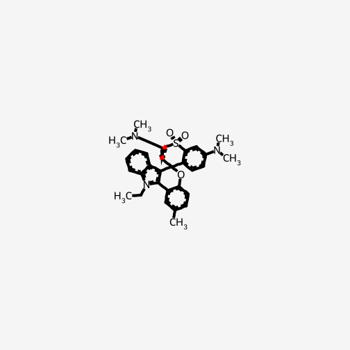 CCn1c2c(c3ccccc31)C1(Oc3ccc(C)cc3-2)c2ccc(N(C)C)cc2S(=O)(=O)c2cc(N(C)C)ccc21